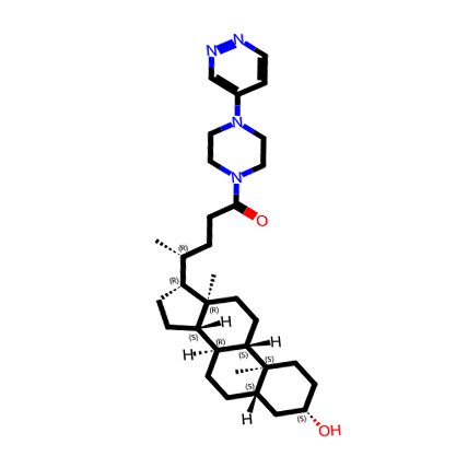 C[C@H](CCC(=O)N1CCN(c2ccnnc2)CC1)[C@H]1CC[C@H]2[C@@H]3CC[C@H]4C[C@@H](O)CC[C@]4(C)[C@H]3CC[C@]12C